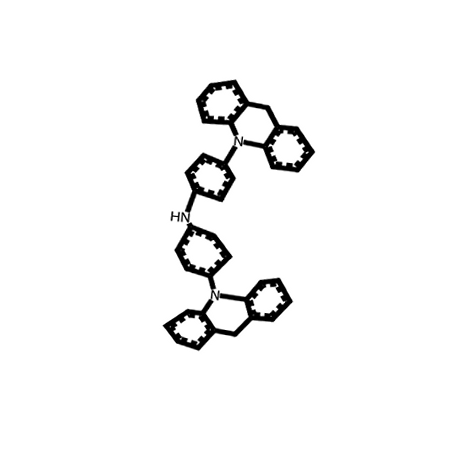 c1ccc2c(c1)Cc1ccccc1N2c1ccc(Nc2ccc(N3c4ccccc4Cc4ccccc43)cc2)cc1